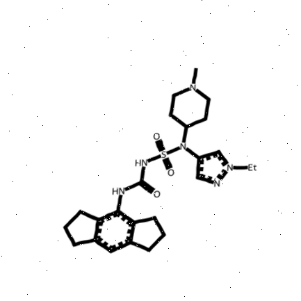 CCn1cc(N(C2CCN(C)CC2)S(=O)(=O)NC(=O)Nc2c3c(cc4c2CCC4)CCC3)cn1